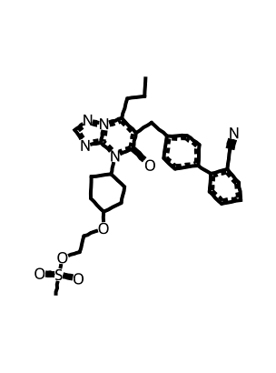 CCCc1c(Cc2ccc(-c3ccccc3C#N)cc2)c(=O)n(C2CCC(OCCOS(C)(=O)=O)CC2)c2ncnn12